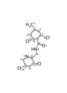 Cc1cc(Cl)c(C(=O)NCc2ncc(Cl)cc2Cl)c(Cl)c1